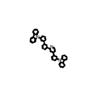 c1cc(-c2cccc(-n3c4ccccc4c4ccccc43)c2)cc(-c2cc(-c3cccc(-n4c5ccccc5c5ccccc54)c3)ccn2)c1